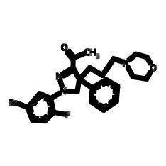 CC(=O)C1=NN(c2cc(Br)ccc2F)CC1(CCCN1CCOCC1)c1ccccc1